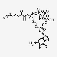 CC(C)(CNC(=O)CCCN=[N+]=[N-])SSCOC1C[C@H](n2cnc3c(=O)[nH]c(N)cc32)O[C@@H]1COP(=O)(O)OP(=O)(O)OP(=O)(O)O